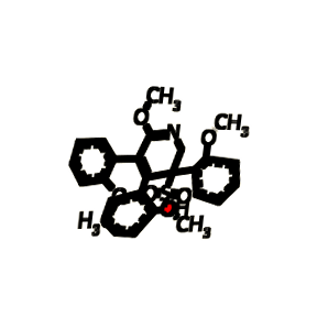 COC1=NCC(c2ccccc2OC)(S(=O)(=O)O)C(c2ccccc2OC)=C1c1ccccc1OC